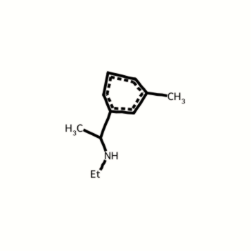 [CH2]CNC(C)c1cccc(C)c1